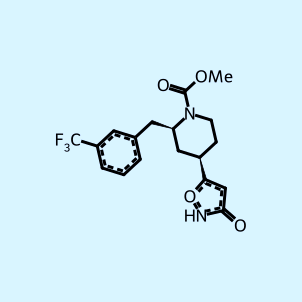 COC(=O)N1CC[C@@H](c2cc(=O)[nH]o2)C[C@H]1Cc1cccc(C(F)(F)F)c1